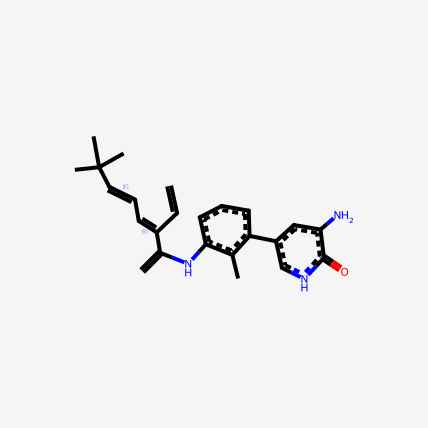 C=C/C(=C\C=C\C(C)(C)C)C(=C)Nc1cccc(-c2c[nH]c(=O)c(N)c2)c1C